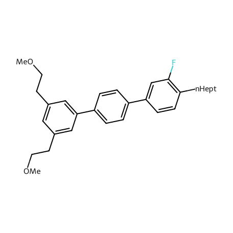 CCCCCCCc1ccc(-c2ccc(-c3cc(CCOC)cc(CCOC)c3)cc2)cc1F